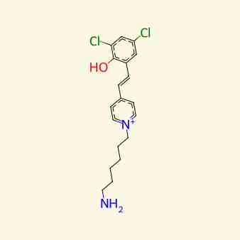 NCCCCCC[n+]1ccc(/C=C/c2cc(Cl)cc(Cl)c2O)cc1